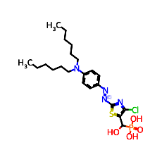 CCCCCCN(CCCCCC)c1ccc(/N=N/c2nc(Cl)c(C(O)P(=O)(O)O)s2)cc1